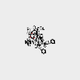 CCCCN(CC(OC(=O)CN(C)C(=O)OCc1ccccc1)C(Cc1ccccc1)NC(=O)[C@@H](NC(=O)OCc1ccccc1)C(C)C)NC(=O)[C@@H](NC(=O)CCn1cnnn1)C(C)C